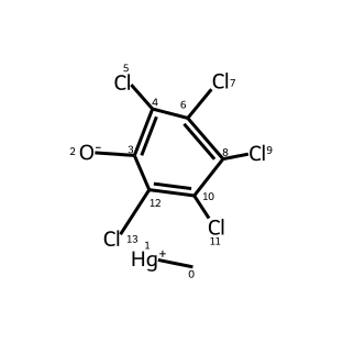 [CH3][Hg+].[O-]c1c(Cl)c(Cl)c(Cl)c(Cl)c1Cl